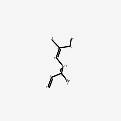 C=C/C(Br)=N\C=C(\C)CC